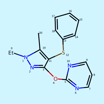 CCn1nc(Oc2ncccn2)c(Sc2ccccc2)c1C